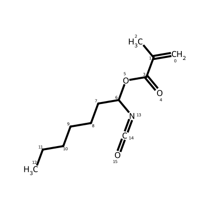 C=C(C)C(=O)OC(CCCCCC)N=C=O